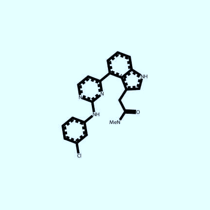 CNC(=O)Cc1c[nH]c2cccc(-c3ccnc(Nc4cccc(Cl)c4)n3)c12